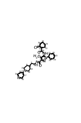 Cc1c(C(=O)NCCC2CCN(c3ccncc3)CC2)nn(-c2ccccc2)c1NC(=O)c1ccccc1Cl